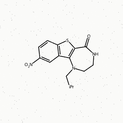 CC(C)CN1CCNC(=O)c2sc3ccc([N+](=O)[O-])cc3c21